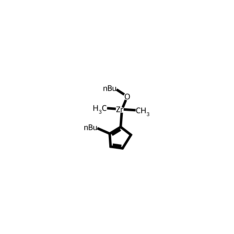 CCCC[O][Zr]([CH3])([CH3])[C]1=C(CCCC)C=CC1